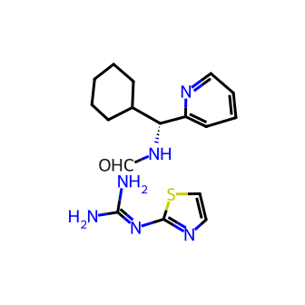 NC(N)=Nc1nccs1.O=CN[C@@H](c1ccccn1)C1CCCCC1